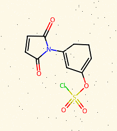 O=C1C=CC(=O)N1C1=CC(OS(=O)(=O)Cl)=CCC1